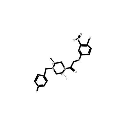 C[C@@H]1CN(Cc2ccc(F)cc2)[C@@H](C)CN1C(=O)COc1ccc(Cl)c([N+](=O)[O-])c1